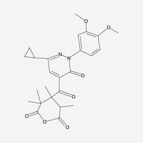 COc1ccc(-n2nc(C3CC3)cc(C(=O)C3(C)C(C)C(=O)OC(=O)C3(C)C)c2=O)cc1OC